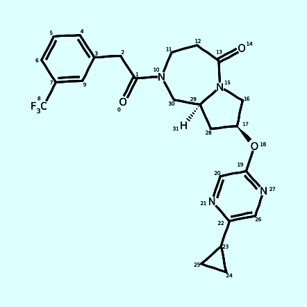 O=C(Cc1cccc(C(F)(F)F)c1)N1CCC(=O)N2C[C@@H](Oc3cnc(C4CC4)cn3)C[C@H]2C1